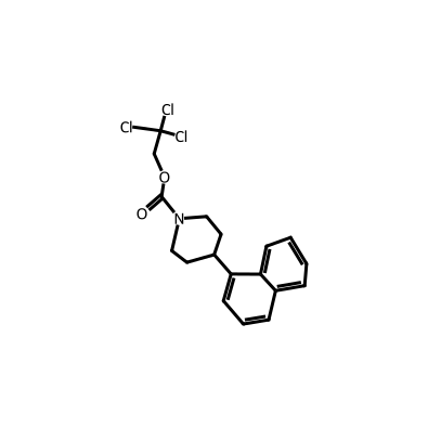 O=C(OCC(Cl)(Cl)Cl)N1CCC(c2cccc3ccccc23)CC1